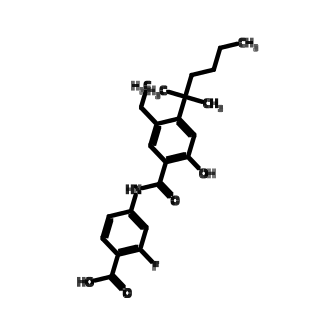 CCCCC(C)(C)c1cc(O)c(C(=O)Nc2ccc(C(=O)O)c(F)c2)cc1CC